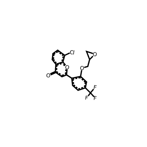 O=c1cc(-c2ccc(C(F)(F)F)cc2OCC2CO2)oc2c(Cl)cccc12